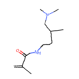 C=C(C)C(=O)NCCC(C)CN(C)C